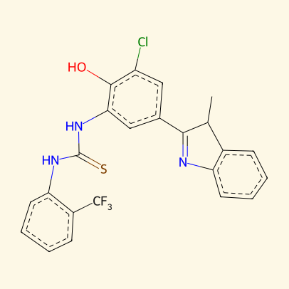 CC1C(c2cc(Cl)c(O)c(NC(=S)Nc3ccccc3C(F)(F)F)c2)=Nc2ccccc21